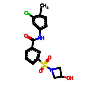 Cc1ccc(NC(=O)c2cccc(S(=O)(=O)N3CC(O)C3)c2)cc1Cl